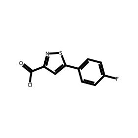 O=C(Cl)c1cc(-c2ccc(F)cc2)sn1